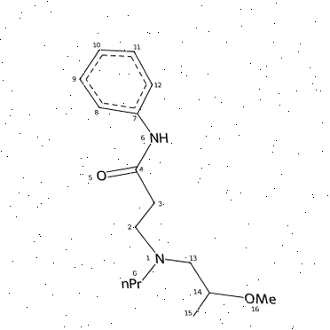 CCCN(CCC(=O)Nc1ccccc1)CC(C)OC